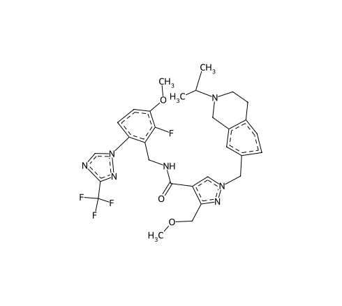 COCc1nn(Cc2ccc3c(c2)CN(C(C)C)CC3)cc1C(=O)NCc1c(-n2cnc(C(F)(F)F)n2)ccc(OC)c1F